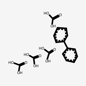 O=C(O)O.O=C(O)O.O=C(O)O.O=C(O)O.c1ccc(-c2ccccc2)cc1